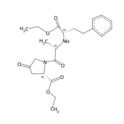 CCOC(=O)[C@H](CCc1ccccc1)N[C@@H](C)C(=O)N1CC(=O)C[C@H]1C(=O)OCC